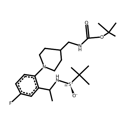 CC(N[S@+]([O-])C(C)(C)C)c1cc(F)ccc1N1CCC(CNC(=O)OC(C)(C)C)CC1